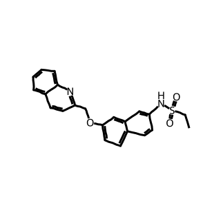 CCS(=O)(=O)Nc1ccc2ccc(OCc3ccc4ccccc4n3)cc2c1